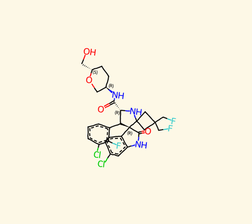 O=C(N[C@@H]1CC[C@@H](CO)OC1)[C@@H]1NC2(CC(CF)(CF)C2)[C@@]2(C(=O)Nc3cc(Cl)ccc32)C1c1cccc(Cl)c1F